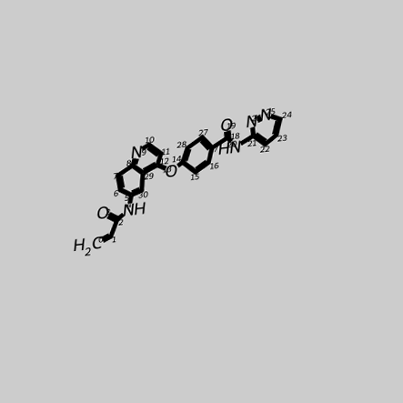 C=CC(=O)Nc1ccc2nccc(Oc3ccc(C(=O)Nc4cccnn4)cc3)c2c1